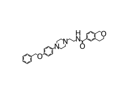 O=C(NCCN1CCN(c2ccc(OCc3ccccc3)cc2)CC1)c1ccc2c(c1)CCOC2